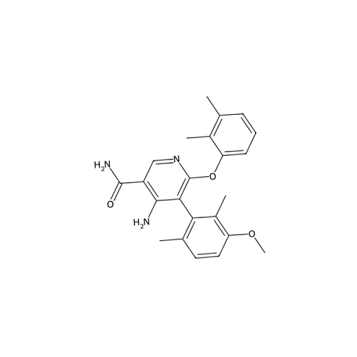 COc1ccc(C)c(-c2c(Oc3cccc(C)c3C)ncc(C(N)=O)c2N)c1C